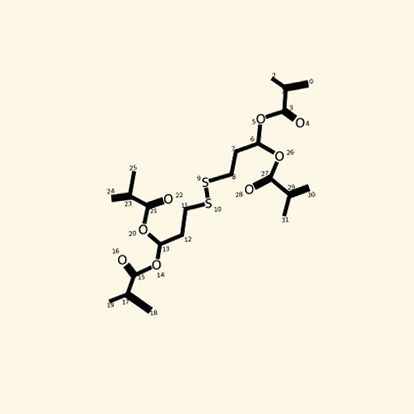 C=C(C)C(=O)OC(CCSSCCC(OC(=O)C(=C)C)OC(=O)C(=C)C)OC(=O)C(=C)C